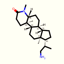 CC(CN)[C@H]1CC[C@H]2[C@@H]3CC[C@H]4N(C)C(=O)CC[C@]4(C)[C@H]3CC[C@]12C